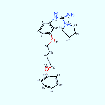 N=C(Nc1cccc(OCCCCOc2ccccc2)c1)N1CCCC1